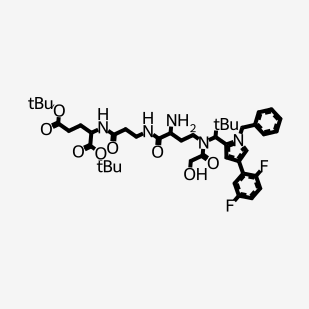 CC(C)(C)OC(=O)CCC(NC(=O)CCNC(=O)C(N)CCN(C(=O)CO)C(c1cc(-c2cc(F)ccc2F)cn1Cc1ccccc1)C(C)(C)C)C(=O)OC(C)(C)C